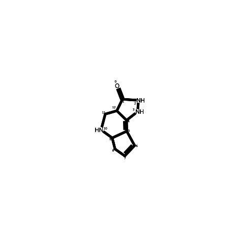 O=C1NNC2=C3C=CCC3NCC12